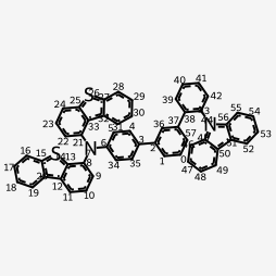 c1cc(-c2ccc(N(c3cccc4c3sc3ccccc34)c3cccc4sc5ccccc5c34)cc2)cc(-c2ccccc2-n2c3ccccc3c3ccccc32)c1